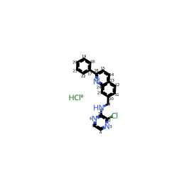 Cl.Clc1nccnc1NCc1ccc2ccc(-c3ccccc3)nc2c1